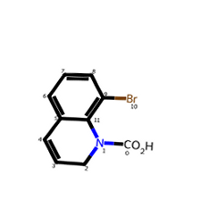 O=C(O)N1CC=Cc2cccc(Br)c21